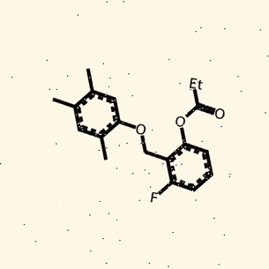 CCC(=O)Oc1cccc(F)c1COc1cc(C)c(C)cc1C